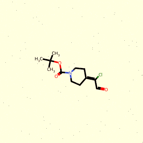 CC(C)(C)OC(=O)N1CCC(=C(Cl)C=O)CC1